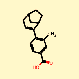 Cc1cc(C(=O)O)ccc1C1=CCC2CCC1C2